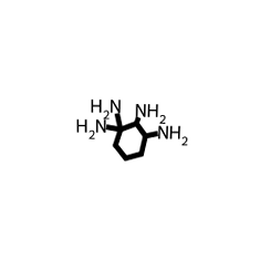 NC1CCCC(N)(N)C1N